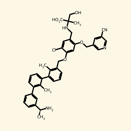 Cc1c(COc2cc(OCc3cncc(C#N)c3)c(CNC(C)(CO)C(=O)O)cc2Cl)cccc1-c1cccc(-c2cccc([C@H](C)N)c2)c1C